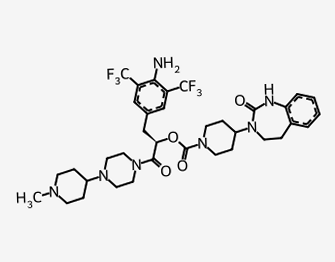 CN1CCC(N2CCN(C(=O)[C@@H](Cc3cc(C(F)(F)F)c(N)c(C(F)(F)F)c3)OC(=O)N3CCC(N4CCc5ccccc5NC4=O)CC3)CC2)CC1